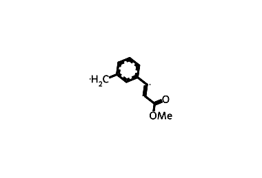 [CH2]c1cccc([C]=CC(=O)OC)c1